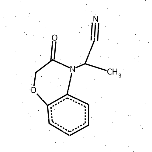 CC(C#N)N1C(=O)COc2ccccc21